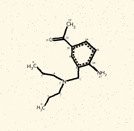 CCCN(CCC)Cc1cc(C(C)=O)ccc1N